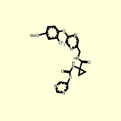 COc1ccc(Oc2cnc(CNC(=O)C3(NC(=O)Oc4cncnc4)CC3)cn2)c(C(F)(F)F)c1